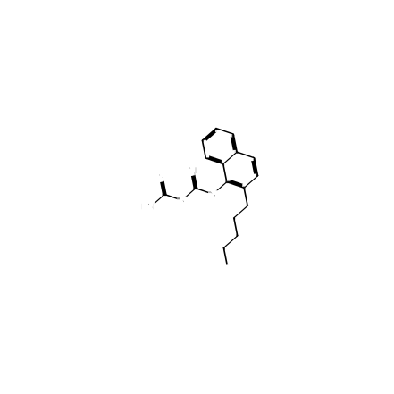 CCCCCc1ccc2ccccc2c1NC(=N)NC(=N)N